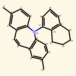 Cc1ccc2c(c1)C=Cc1cc(C)ccc1N2c1cccc2c1CCCC2